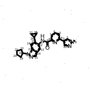 Cn1cc(-c2cccc(C(=O)Nc3cc4cnn(C5CCCC5)c4cc3C3CC3)n2)cn1